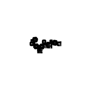 CCn1c2ccc(C(=O)C(=N)CCSc3ccc(Cl)cc3)cc2c2cc(C(=O)c3ccccc3C)ccc21